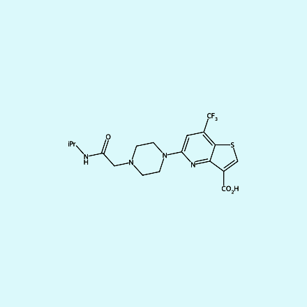 CC(C)NC(=O)CN1CCN(c2cc(C(F)(F)F)c3scc(C(=O)O)c3n2)CC1